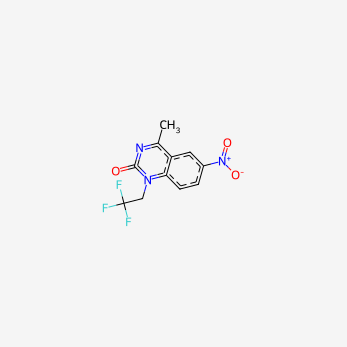 Cc1nc(=O)n(CC(F)(F)F)c2ccc([N+](=O)[O-])cc12